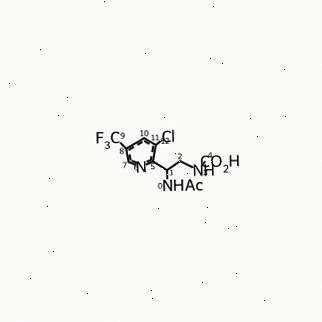 CC(=O)NC(CNC(=O)O)c1ncc(C(F)(F)F)cc1Cl